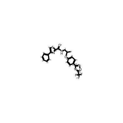 CC(CNC(=O)c1nc(-c2ccccc2)cs1)Oc1ccc(-c2noc(C(F)(F)F)n2)cc1